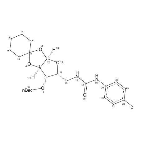 CCCCCCCCCCO[C@@H]1[C@H]2OC3(CCCCC3)O[C@H]2O[C@@H]1CNC(=O)Nc1ccc(C)cc1